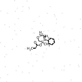 C=CC(=O)O[Si]1(C)CO[SiH2][SiH2][SiH]1c1ccccc1